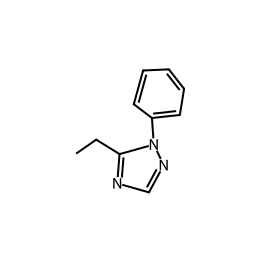 CCc1ncnn1-c1ccccc1